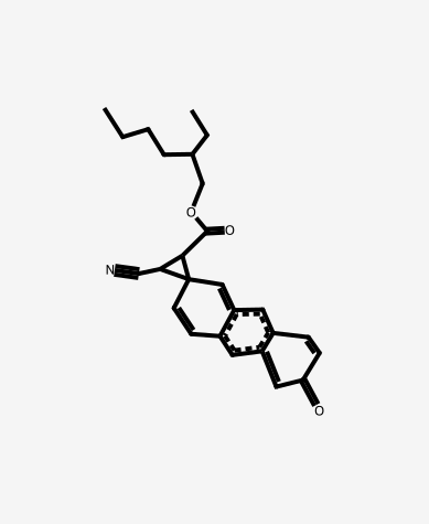 CCCCC(CC)COC(=O)C1C(C#N)C12C=Cc1cc3c(cc1=C2)C=CC(=O)C=3